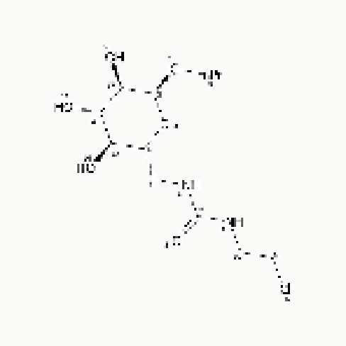 CCCO[C@H]1O[C@H](CNC(=O)NCCCl)[C@@H](O)[C@H](O)[C@H]1O